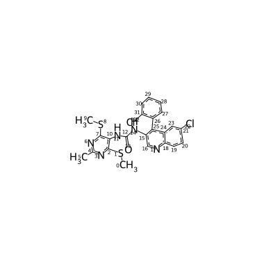 CSc1nc(C)nc(SC)c1NC(=O)Nc1cnc2ccc(Cl)cc2c1-c1ccccc1Cl